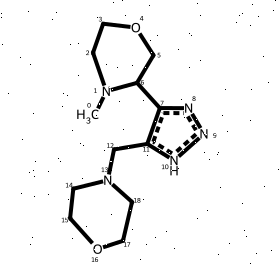 CN1CCOCC1c1nn[nH]c1CN1CCOCC1